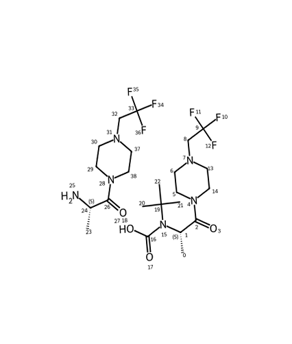 C[C@@H](C(=O)N1CCN(CC(F)(F)F)CC1)N(C(=O)O)C(C)(C)C.C[C@H](N)C(=O)N1CCN(CC(F)(F)F)CC1